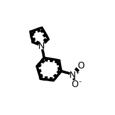 O=[N+]([O-])c1cccc(-n2cccc2)c1